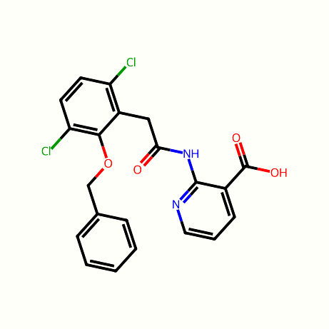 O=C(Cc1c(Cl)ccc(Cl)c1OCc1ccccc1)Nc1ncccc1C(=O)O